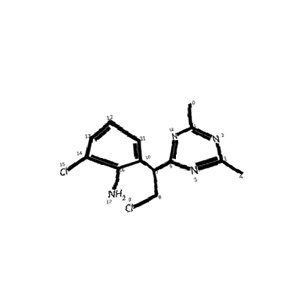 Cc1nc(C)nc(C(CCl)c2cccc(Cl)c2N)n1